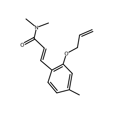 C=CCOc1cc(C)ccc1C=CC(=O)N(C)C